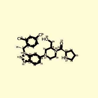 C[C@H](c1ccc(Cl)cc1Cl)n1nnc2ccc(N3CCN(C(=O)[C@H]4CCCN4)C(CO)C3)cc21